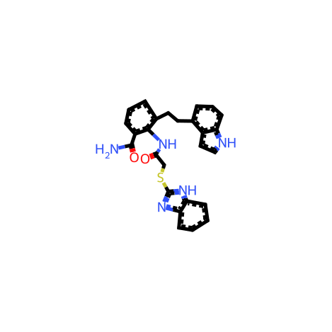 NC(=O)c1cccc(CCc2cccc3[nH]ccc23)c1NC(=O)CSc1nc2ccccc2[nH]1